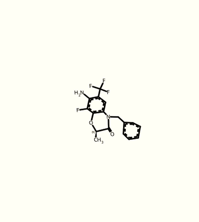 C[C@H]1Oc2c(cc(C(F)(F)F)c(N)c2F)N(Cc2ccccc2)C1=O